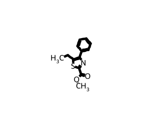 CCc1sc(C(=O)OC)nc1-c1ccccc1